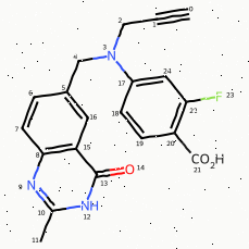 C#CCN(Cc1ccc2nc(C)[nH]c(=O)c2c1)c1ccc(C(=O)O)c(F)c1